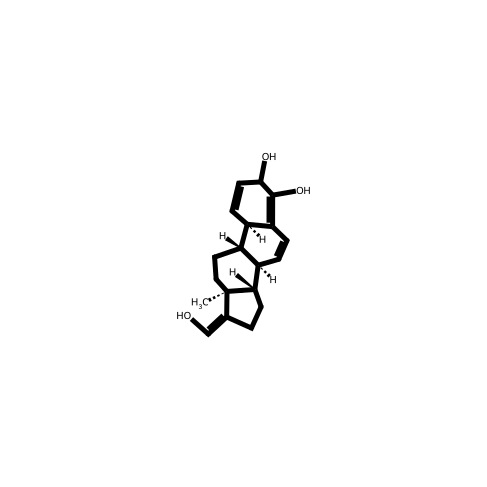 C[C@]12CC[C@H]3[C@@H](C=CC4=C(O)C(O)C=C[C@@H]43)[C@@H]1CC/C2=C/O